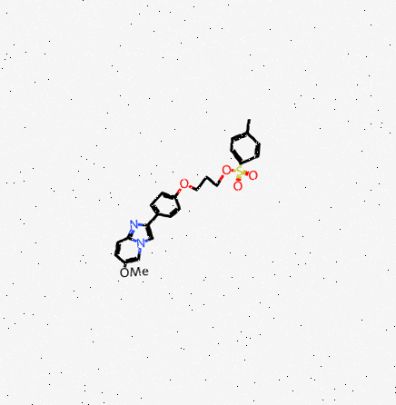 COc1ccc2nc(-c3ccc(OCCCOS(=O)(=O)c4ccc(C)cc4)cc3)cn2c1